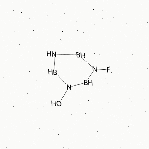 ON1BNBN(F)B1